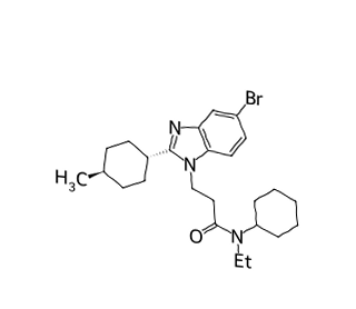 CCN(C(=O)CCn1c2ccc(Br)cc2nc1[C@H]1CC[C@H](C)CC1)C1CCCCC1